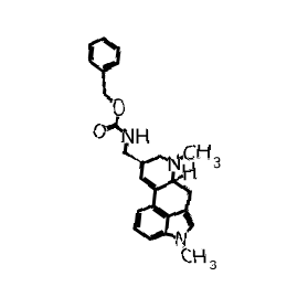 CN1C[C@H](CNC(=O)OCc2ccccc2)C=C2c3cccc4c3c(cn4C)C[C@H]21